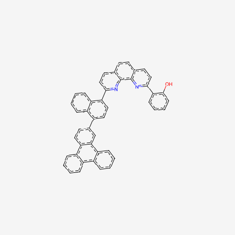 Oc1ccccc1-c1ccc2ccc3ccc(-c4ccc(-c5ccc6c7ccccc7c7ccccc7c6c5)c5ccccc45)nc3c2n1